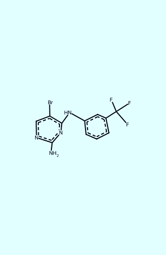 Nc1ncc(Br)c(Nc2cccc(C(F)(F)F)c2)n1